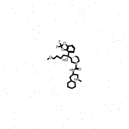 CNCC(CC1CCCCC1)NC(=O)N1CCC[C@@H]([C@@](O)(CCCCOC)c2cccc3c2OC(F)(F)O3)C1